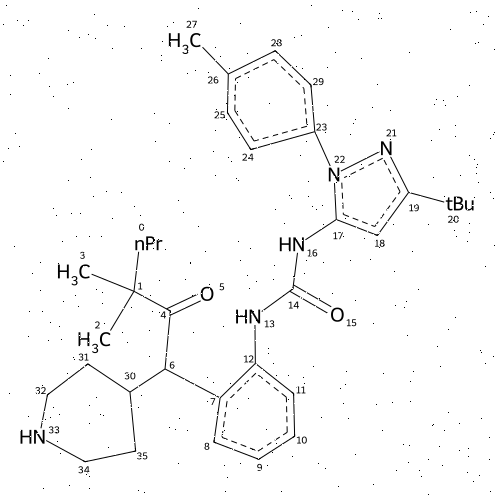 CCCC(C)(C)C(=O)C(c1ccccc1NC(=O)Nc1cc(C(C)(C)C)nn1-c1ccc(C)cc1)C1CCNCC1